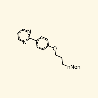 CCCCCCCCCCCCOc1ccc(-c2ncccn2)cc1